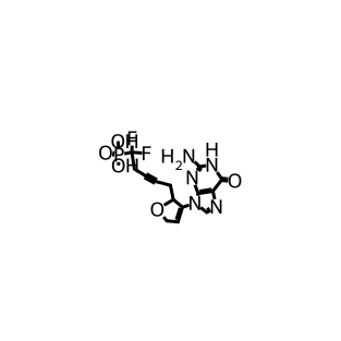 Nc1nc2c(ncn2C2=CCOC2CC#CCC(F)(F)P(=O)(O)O)c(=O)[nH]1